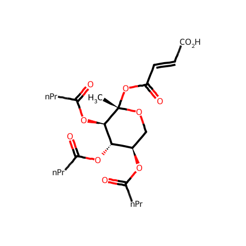 CCCC(=O)O[C@@H]1[C@@H](OC(=O)CCC)[C@](C)(OC(=O)/C=C/C(=O)O)OC[C@H]1OC(=O)CCC